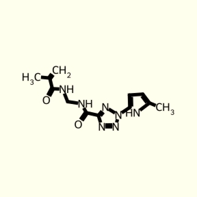 C=C(C)C(=O)NCNC(=O)c1nnn(-c2ccc(C)[nH]2)n1